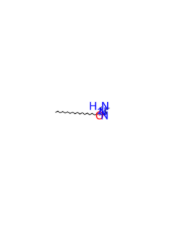 CCCCCCCCCCCCCCCCCCOc1ncc(C(C)N)n1CC